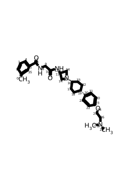 Cc1cccc(C(=O)NCC(=O)NC2CN([C@H]3CC[C@@H](c4ccc(OCCN(C)C)cc4)CC3)C2)c1